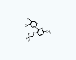 Cc1ccc(OCC(F)(F)F)c(-c2ccc(Cl)c(Cl)c2)n1